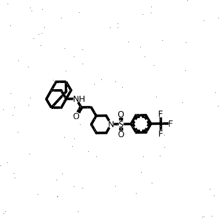 O=C(CC1CCCN(S(=O)(=O)c2ccc(C(F)(F)F)cc2)C1)NC12CC3CC(CC(C3)C1)C2